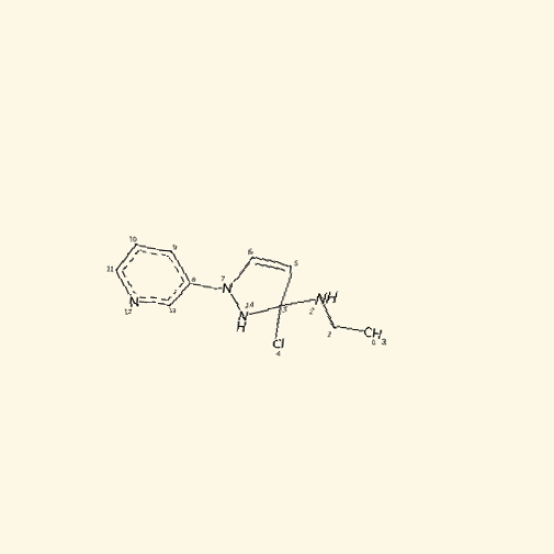 CCNC1(Cl)C=CN(c2cccnc2)N1